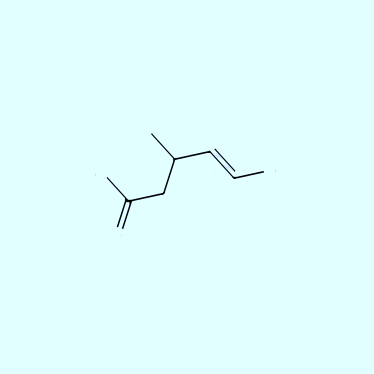 CC/C=C/C(C)CC(=O)Cl